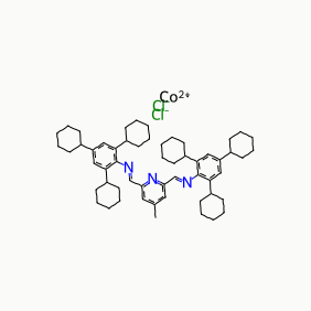 Cc1cc(C=Nc2c(C3CCCCC3)cc(C3CCCCC3)cc2C2CCCCC2)nc(C=Nc2c(C3CCCCC3)cc(C3CCCCC3)cc2C2CCCCC2)c1.[Cl-].[Cl-].[Co+2]